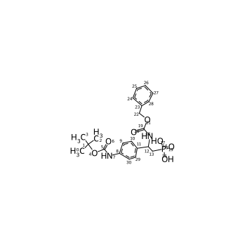 CC(C)(C)OC(=O)Nc1ccc(C(CP(=O)(O)O)NC(=O)OCc2ccccc2)cc1